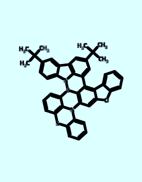 CC(C)(C)c1ccc2c(c1)c1cc(C(C)(C)C)cc3c1n2B1c2cccc4c2N(c2ccccc2S4)c2cc4oc5ccccc5c4c-3c21